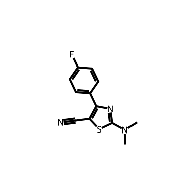 CN(C)c1nc(-c2ccc(F)cc2)c(C#N)s1